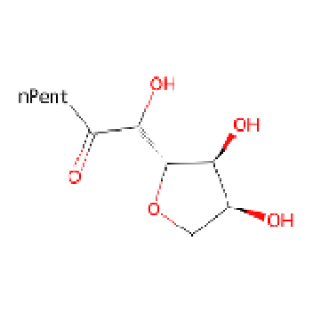 [CH2]CCCCC(=O)C(O)[C@H]1OC[C@H](O)[C@@H]1O